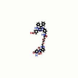 N=c1c2c(-c3ccccc3)c(-c3ccccc3)n(Cc3ccc(CNC(=O)CCOCCOCCNc4cccc5c4C(=O)N(C4CCC(=O)NC4=O)C5=O)cc3)c2ncn1C1CCC(O)CC1